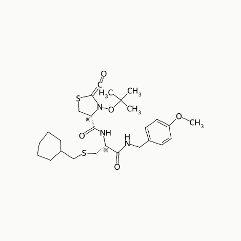 COc1ccc(CNC(=O)[C@H](CSCC2CCCCC2)NC(=O)[C@@H]2CSC(=C=O)N2OC(C)(C)C)cc1